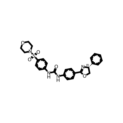 O=C(Nc1ccc(C2=N[C@H](c3ccccc3)CO2)cc1)Nc1ccc(S(=O)(=O)N2CCOCC2)cc1